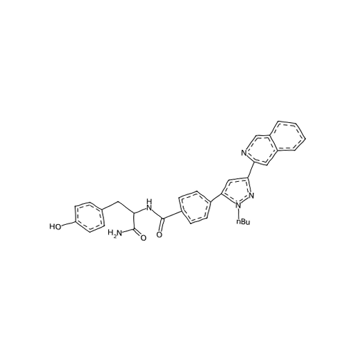 CCCCn1nc(-c2cc3ccccc3cn2)cc1-c1ccc(C(=O)NC(Cc2ccc(O)cc2)C(N)=O)cc1